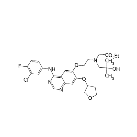 CCOC(=O)CN(CCOc1cc2c(Nc3ccc(F)c(Cl)c3)ncnc2cc1OC1CCOC1)CC(C)(C)O